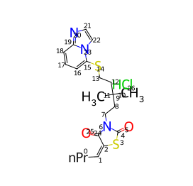 CCCC=C1SC(=O)N(CCC(C)(C)CCSc2cccc3nccn23)C1=O.Cl